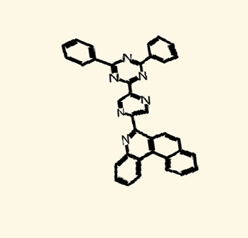 c1ccc(-c2nc(-c3ccccc3)nc(-c3cnc(-c4nc5ccccc5c5c4ccc4ccccc45)cn3)n2)cc1